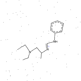 CCN(CC)CC(C)/N=C/Nc1ccccc1